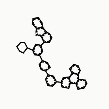 c1cc(-c2ccc(-c3cc(-c4cccc5c4sc4ccccc45)cc(C4CCCCC4)c3)cc2)cc(-c2ccc3c4ccccc4c4ccccc4c3c2)c1